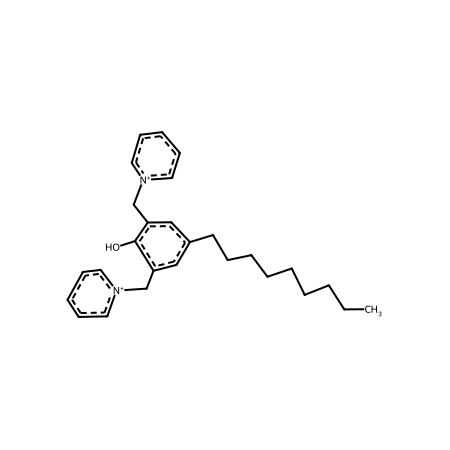 CCCCCCCCCc1cc(C[n+]2ccccc2)c(O)c(C[n+]2ccccc2)c1